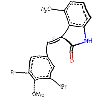 COc1c(C(C)C)cc(/C=C2\C(=O)Nc3cccc(C)c32)cc1C(C)C